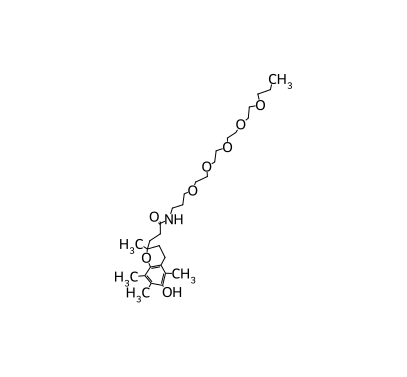 CCCOCCOCCOCCOCCOCCCNC(=O)CCC1(C)CCc2c(C)c(O)c(C)c(C)c2O1